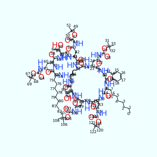 CCCCCCCC[C@@H]1NC(=O)[C@@H](Cc2ccccc2)NC(=O)[C@H](CCNC(=O)OC(C)(C)C)NC(=O)[C@@H](NC(=O)[C@H](CCNC(=O)OC(C)(C)C)NC(=O)[C@@H](NC(=O)[C@H](CCNC(=O)OC(C)(C)C)NC(=O)[C@@H](N)CCCCCCCC)[C@@H](C)O)CCNC(=O)[C@H]([C@@H](C)O)NC(=O)[C@H](CCNC(=O)OC(C)(C)C)NC(=O)[C@H](CCNC(=O)OC(C)(C)C)NC1=O